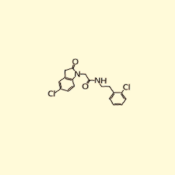 O=C(CN1C(=O)Cc2cc(Cl)ccc21)NCCc1ccccc1Cl